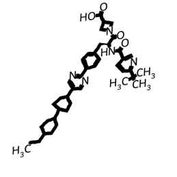 CCCC1CCC(C2CCC(c3cnc(-c4ccc(C[C@H](NC(=O)c5ccc(C(C)(C)C)nc5)C(=O)N5CC(C(=O)O)C5)cc4)nc3)CC2)CC1